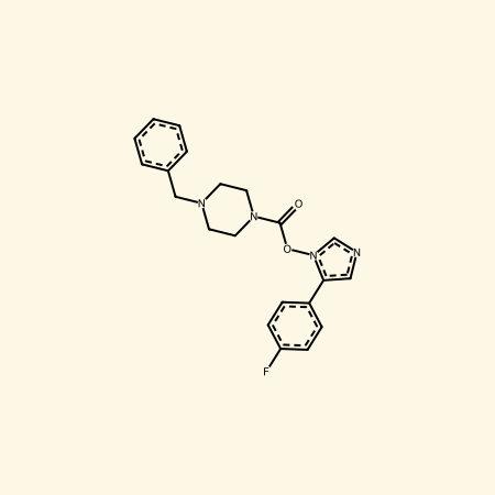 O=C(On1cncc1-c1ccc(F)cc1)N1CCN(Cc2ccccc2)CC1